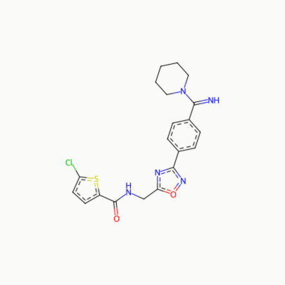 N=C(c1ccc(-c2noc(CNC(=O)c3ccc(Cl)s3)n2)cc1)N1CCCCC1